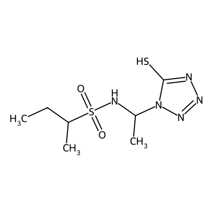 CCC(C)S(=O)(=O)NC(C)n1nnnc1S